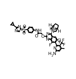 Cc1cc(N)nc(-c2c(Cl)cc3c(N4C[C@H]5CC[C@@H](C4)N5)nc(OCC(=O)Nc4ccc(S(=O)(=O)n5cnc(C6CC6)n5)cc4)nc3c2F)c1C(F)(F)F